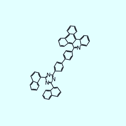 c1ccc2c(-c3nc(-c4ccc(-c5ccc(-c6nc7ccccc7c7c8ccccc8c8ccccc8c67)cc5)cc4)nc(-c4cccc5ccccc45)n3)cccc2c1